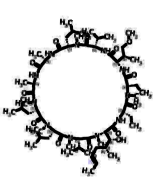 C/C=C/C[C@@H](C)[C@@H](O)[C@H]1C(=O)N[C@@H](CC)C(=O)N(C)[C@H](CC)C(=O)N[C@@H]([C@H](C)COC)C(=O)N[C@@H](C(C)C)C(=O)N(C)[C@@H](CC(C)C)C(=O)N[C@@H](C)C(=O)N[C@H](C)C(=O)N(C)[C@@H](CC(C)C)C(=O)N(C)[C@@H](CC(C)C)C(=O)N(C)[C@@H](C(C)C)C(=O)N1C